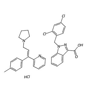 Cc1ccc(/C(=C\CN2CCCC2)c2ccccn2)cc1.Cl.O=C(O)c1nn(Cc2ccc(Cl)cc2Cl)c2ccccc12